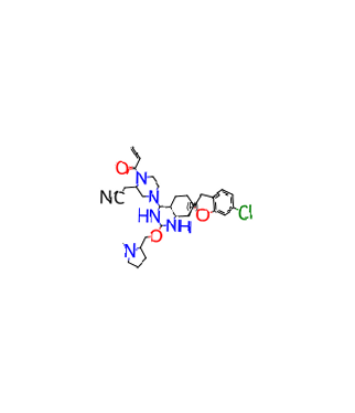 C=CC(=O)N1CCN(C2NC(OCC3CCCN3C)NC3C[C@@]4(CCC32)Cc2ccc(Cl)cc2O4)CC1CC#N